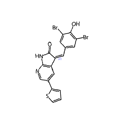 O=C1Nc2ncc(-c3cccs3)cc2/C1=C/c1cc(Br)c(O)c(Br)c1